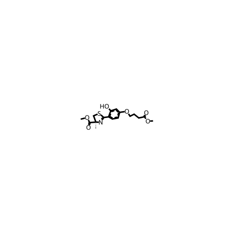 COC(=O)CCCOc1ccc(C2=N[C@@](C)(C(=O)OC)CS2)c(O)c1